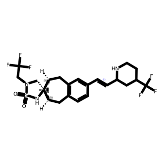 O=S1(=O)N[C@@]2(CN1CC(F)(F)F)[C@@H]1CC[C@H]2Cc2ccc(/C=C/C3CC(C(F)(F)F)CCN3)cc2C1